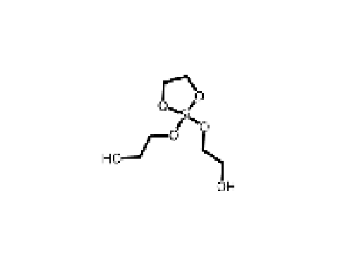 OCCO[Si]1(OCCO)OCCO1